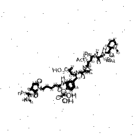 CCCC(CCC)(SC1CC(=O)N(CCCCC(=O)Nc2cc(C[C@@H](CC(C)C(=O)O)NC(=O)c3csc([C@@H](C[C@H](C(C)C)N(C)C(=O)[C@@H](NC(=O)C4CCCCN4C)[C@@H](C)CC)OC(C)=O)n3)ccc2OP(=O)(O)O)C1=O)N(C)I